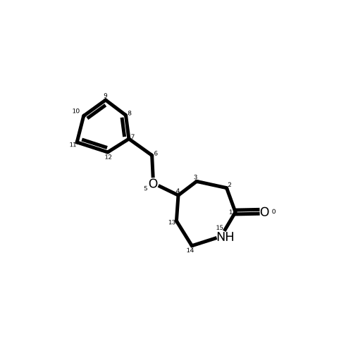 O=C1CCC(OCc2ccccc2)CCN1